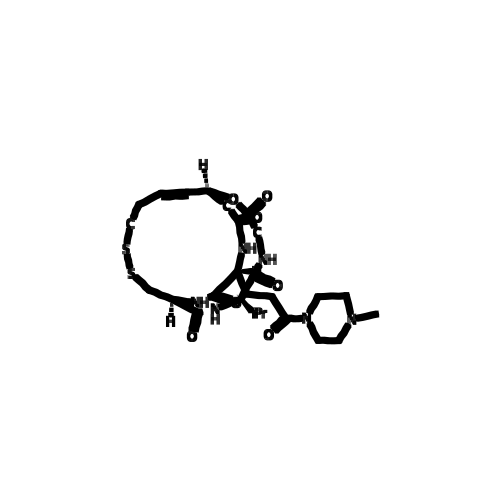 CC(C)[C@H]1NC(=O)[C@H]2CSSCC/C=C/[C@H](CC(=O)N[C@H](CCC(=O)N3CCN(C)CC3)C(=O)N2)OC(=O)CNC1=O